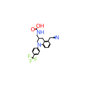 N#CCc1cccc2c1CC(CNC(=O)O)CN2c1ccc(C(F)(F)F)cc1